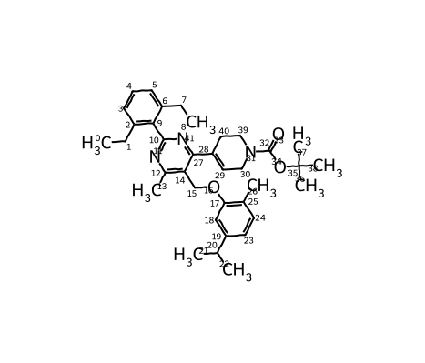 CCc1cccc(CC)c1-c1nc(C)c(COc2cc(C(C)C)ccc2C)c(C2=CCN(C(=O)OC(C)(C)C)CC2)n1